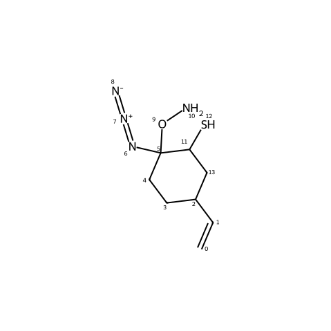 C=CC1CCC(N=[N+]=[N-])(ON)C(S)C1